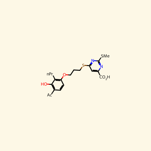 CCCc1c(OCCCSc2cc(C(=O)O)nc(SC)n2)ccc(C(C)=O)c1O